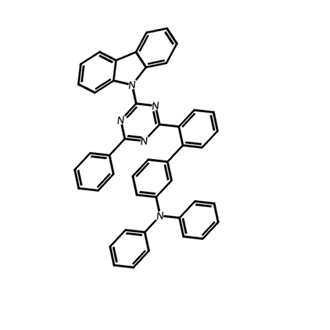 c1ccc(-c2nc(-c3ccccc3-c3cccc(N(c4ccccc4)c4ccccc4)c3)nc(-n3c4ccccc4c4ccccc43)n2)cc1